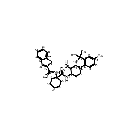 O=C(NC1(C(=O)NC2CCN(c3ccc(F)cc3C(F)(F)F)CC2O)CCCCC1)c1cc2ccccc2o1